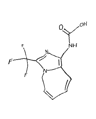 O=C(O)Nc1nc(C(F)(F)F)n2ccccc12